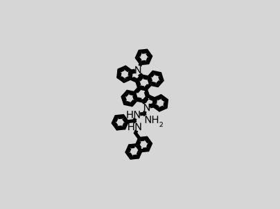 NC(NC(NCc1cccc2ccccc12)c1ccccc1)n1c2ccccc2c2c3c4ccccc4c4c(c5ccccc5n4-c4ccccc4)c3c3ccccc3c21